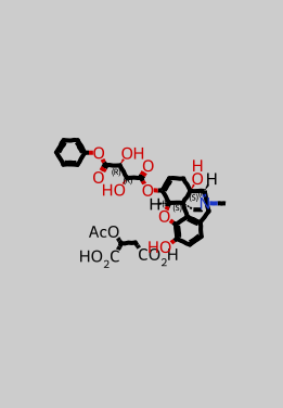 CC(=O)OC(CC(=O)O)C(=O)O.CN1CC[C@]23c4c5ccc(O)c4O[C@H]2C(OC(=O)[C@H](O)[C@@H](O)C(=O)Oc2ccccc2)=CC[C@@]3(O)[C@H]1C5